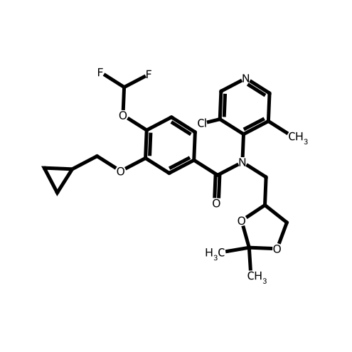 Cc1cncc(Cl)c1N(CC1COC(C)(C)O1)C(=O)c1ccc(OC(F)F)c(OCC2CC2)c1